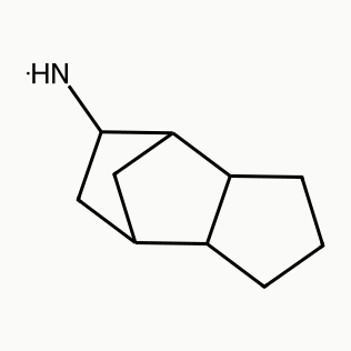 [NH]C1CC2CC1C1CCCC21